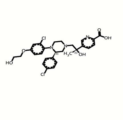 C[C@@](O)(CN1CCN(c2ccc(OCCO)cc2Cl)[C@H](c2ccc(Cl)cc2)C1)c1ccc(C(=O)O)nc1